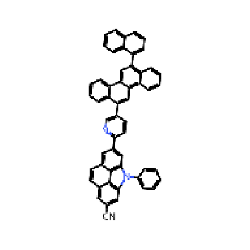 N#Cc1cc2ccc3cc(-c4ccc(-c5cc6c7ccccc7c(-c7cccc8ccccc78)cc6c6ccccc56)cn4)cc4c3c2c(c1)n4-c1ccccc1